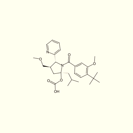 COC[C@@H]1C[C@](CC(C)C)(OC(=O)O)N(C(=O)c2ccc(C(C)(C)C)c(OC)c2)[C@H]1c1ccccn1